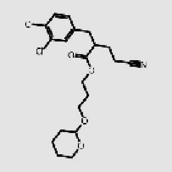 N#CCCC(Cc1ccc(Cl)c(Cl)c1)C(=O)OCCCOC1CCCCO1